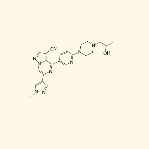 CC(O)CN1CCN(c2ccc(-c3nc(-c4cnn(C)c4)cn4ncc(C#N)c34)cn2)CC1